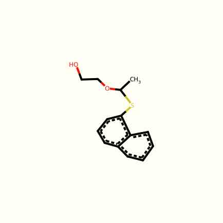 CC(OCCO)Sc1cccc2ccccc12